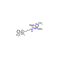 CCC(C)(CCCCCCNC(=O)Nc1c(SC)cc(C)nc1SC)c1ccccc1C